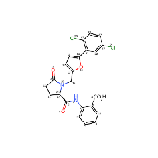 O=C(O)c1ccccc1NC(=O)[C@H]1CCC(=O)N1Cc1ccc(-c2cc(Cl)ccc2Cl)o1